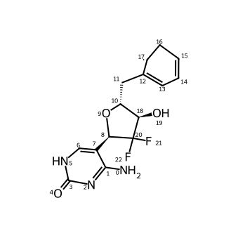 Nc1nc(=O)[nH]cc1[C@H]1O[C@H](CC2=CC=CC[CH]2)[C@@H](O)C1(F)F